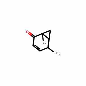 CCC12C(=O)C=CC3(C)C1C32